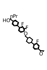 CCCC(O)c1ccc(-c2ccc(OCC3CCC(c4ccc(C5CO5)cc4F)CC3)c(F)c2F)cc1